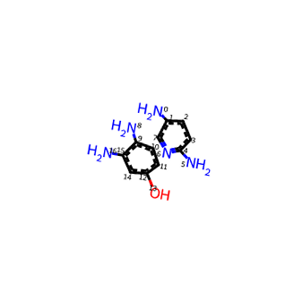 Nc1ccc(N)nc1.Nc1ccc(O)cc1N